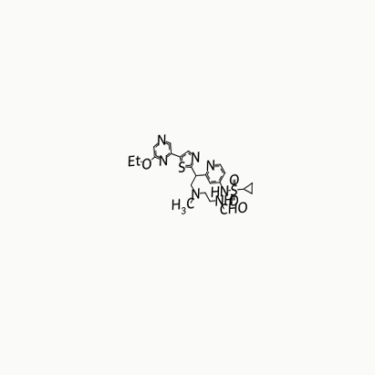 CCOc1cncc(-c2cnc(C(CN(C)CCNC=O)c3cc(NS(=O)(=O)C4CC4)ccn3)s2)n1